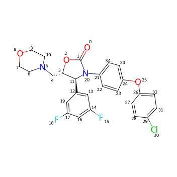 O=C1O[C@@H](CN2CCOCC2)[C@H](c2cc(F)cc(F)c2)N1c1ccc(Oc2ccc(Cl)cc2)cc1